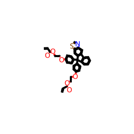 C=CC(=O)OCCOc1ccc(C2(c3ccc(OCCOC(=O)C=C)cc3)c3ccccc3-c3cc4ncsc4cc32)cc1